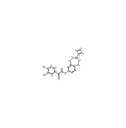 O=C(NCc1ccc2c(c1)CCN(C1=CC=C1)CC2)c1ccc(F)c(F)c1